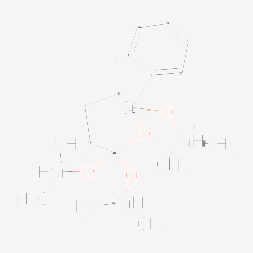 C[SiH](C)OC1(O[SiH](C)C)CCC[Si](O[SiH](C)C)(c2ccccc2)O1